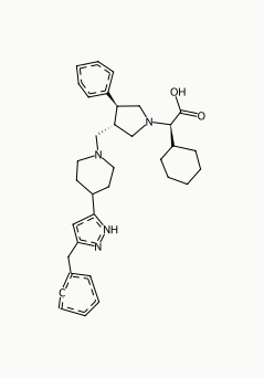 O=C(O)[C@@H](C1CCCCC1)N1C[C@H](CN2CCC(c3cc(Cc4ccccc4)n[nH]3)CC2)[C@@H](c2ccccc2)C1